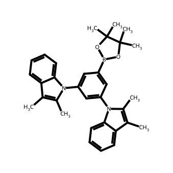 Cc1c(C)n(-c2cc(B3OC(C)(C)C(C)(C)O3)cc(-n3c(C)c(C)c4ccccc43)c2)c2ccccc12